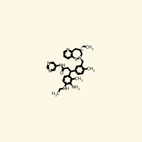 CCNc1ccc(C(CC(=O)Nc2cncnc2)c2ccc(C)c(CN3C[C@@H](CC)Cc4ncccc4S3)c2)c(C)c1N